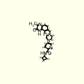 Cc1nc2ccc(CN3CCN(c4ccc(C(=O)NC5CCC5)nc4)CC3)c(F)c2[nH]c1=O